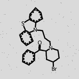 O=C(c1ccccc1)C1CC(Br)CCN1CCCN1c2ccccc2Sc2ccccc21